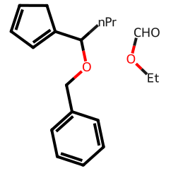 CCCC(OCc1ccccc1)C1=CC=CC1.CCOC=O